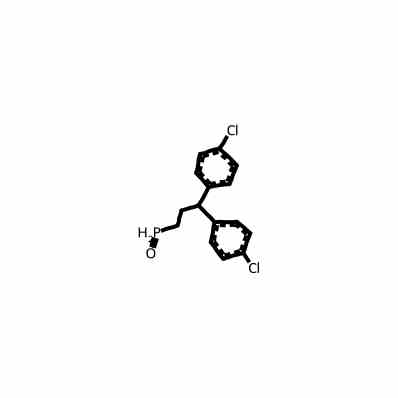 O=[PH2]CCC(c1ccc(Cl)cc1)c1ccc(Cl)cc1